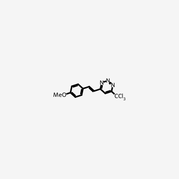 COc1ccc(C=Cc2cc(C(Cl)(Cl)Cl)nnn2)cc1